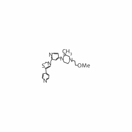 COCCN1CCN(c2ccnc(N3C=C(c4ccncc4)SC3)c2)[C@@H](C)C1